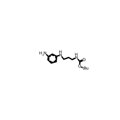 CC(C)(C)OC(=O)NCCCNc1cccc(N)c1